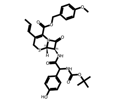 CC=CC1=C(C(=O)OCc2ccc(OC)cc2)N2C(=O)[C@@H](NC(=O)C(NC(=O)OC(C)(C)C)c3ccc(O)cc3)[C@@H]2SC1